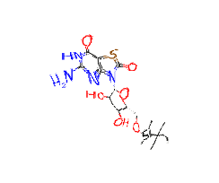 CC(C)(C)[Si](C)(C)OC[C@H]1O[C@@H](n2c(=O)sc3c(=O)[nH]c(N)nc32)[C@H](O)[C@@H]1O